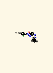 COc1ccc(CCn2cnc3cc(N=C=N[C@H]4C[C@H]5C[C@@H]([C@@H]4C)C5(C)C)ccc3c2=O)c(F)c1